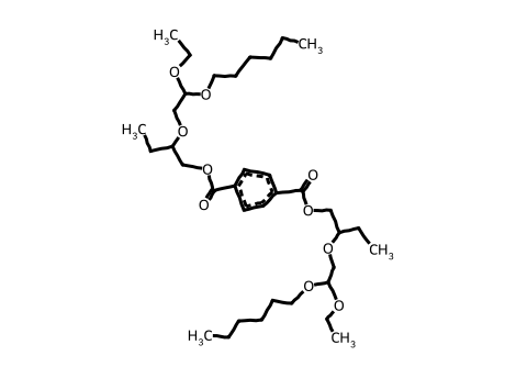 CCCCCCOC(COC(CC)COC(=O)c1ccc(C(=O)OCC(CC)OCC(OCC)OCCCCCC)cc1)OCC